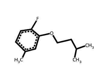 Cc1ccc(F)c(OCCC(C)C)c1